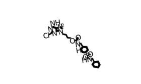 Nc1nc(Cl)nc2c1ncn2CCCCOC(=O)NCc1ccc(S(=O)(=O)NCc2ccccc2)cc1